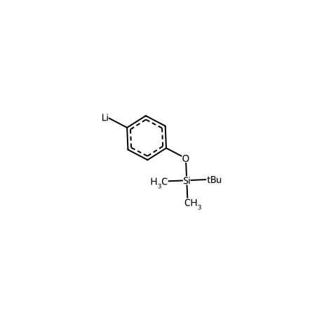 [Li][c]1ccc(O[Si](C)(C)C(C)(C)C)cc1